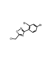 ClCc1nc(-c2ccc(Br)cc2Br)no1